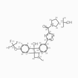 CN1CC(C)([C@](O)(c2ccc(OC(F)(F)F)cc2)c2cccc(-c3nc(C(=O)N4CC[C@H](C(C)(C)O)C4)no3)c2)C1